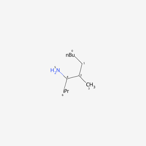 CCCCCC(C)C(N)C(C)C